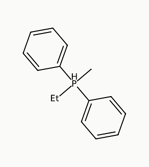 CC[PH](C)(c1ccccc1)c1ccccc1